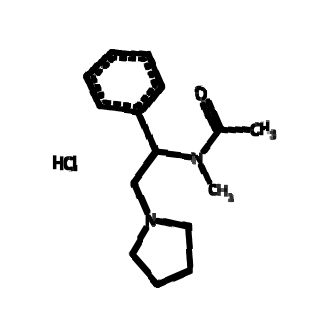 CC(=O)N(C)C(CN1CCCC1)c1ccccc1.Cl